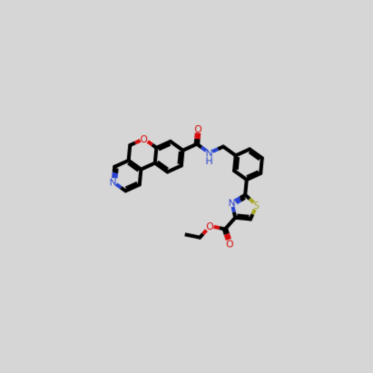 CCOC(=O)c1csc(-c2cccc(CNC(=O)c3ccc4c(c3)OCc3cnccc3-4)c2)n1